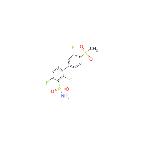 CS(=O)(=O)c1ccc(-c2[c]cc(F)c(S(N)(=O)=O)c2F)cc1F